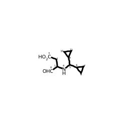 O=CC(CC(=O)O)NC(C1CC1)C1CC1